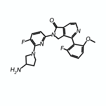 COc1cccc(F)c1-c1nccc2c1CN(c1ccc(F)c(N3CCC(N)C3)n1)C2=O